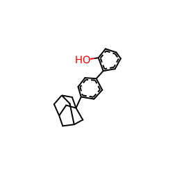 Oc1ccccc1-c1ccc(C23CC4CC(CC(C4)C2)C3)cc1